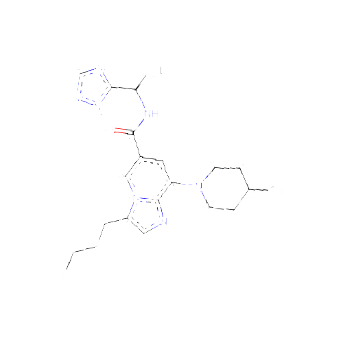 CCCCc1cnc2c(N3CCC(C)CC3)cc(C(=O)NC(C)c3nnc[nH]3)cn12